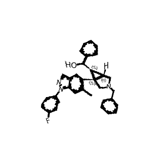 Cc1cc2c(cnn2-c2ccc(F)cc2)cc1[C@]12CN(Cc3ccccc3)C[C@H]1[C@@H]2C(O)c1ccccc1